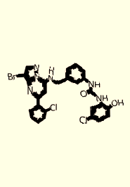 O=C(Nc1cccc(CNc2cc(-c3ccccc3Cl)nc3c(Br)cnn23)c1)Nc1cc(Cl)ccc1O